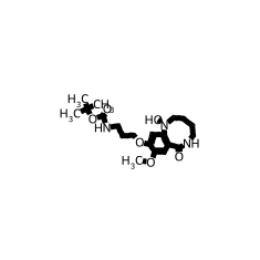 COc1cc2c(cc1OCCCNC(=O)OC(C)(C)C)N(O)CCCCNC2=O